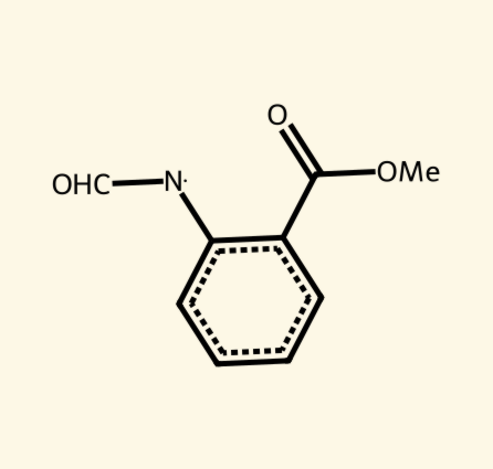 COC(=O)c1ccccc1[N]C=O